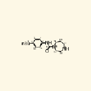 CCCCc1ccc(NC(=O)N2CCCNCC2)cc1